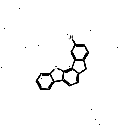 Nc1ccc2c(c1)-c1c(ccc3c1oc1ccccc13)C2